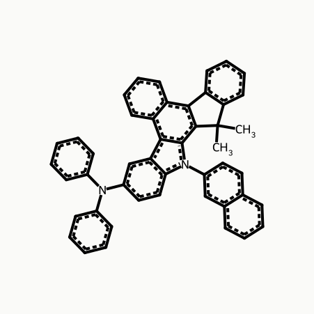 CC1(C)c2ccccc2-c2c1c1c(c3ccccc23)c2cc(N(c3ccccc3)c3ccccc3)ccc2n1-c1ccc2ccccc2c1